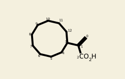 C=C(C(=O)O)C1CCCCCCCCC1